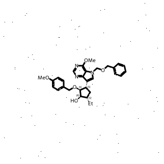 CC[C@H]1C[C@@H](c2cn(COCc3ccccc3)c3c(OC)ncnc23)[C@H](OCc2ccc(OC)cc2)[C@@H]1O